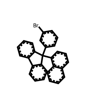 Brc1cccc(C2(c3cccc4ccccc34)c3ccccc3-c3ccccc32)c1